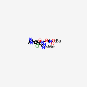 CSc1ncc2cc(-c3ccc(-c4cncc(C)n4)cc3Cl)c(=O)n(CCOC3CN(C(=O)OC(C)(C)C)C3)c2n1